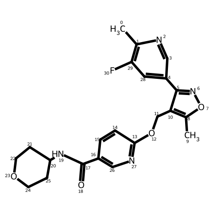 Cc1ncc(-c2noc(C)c2COc2ccc(C(=O)NC3CCOCC3)cn2)cc1F